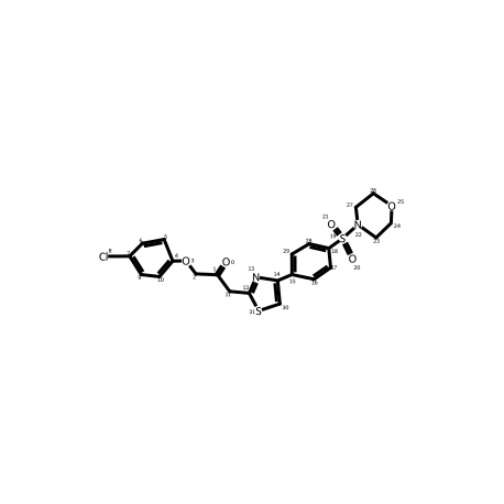 O=C(COc1ccc(Cl)cc1)Cc1nc(-c2ccc(S(=O)(=O)N3CCOCC3)cc2)cs1